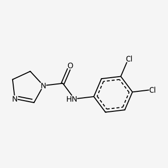 O=C(Nc1ccc(Cl)c(Cl)c1)N1C=NCC1